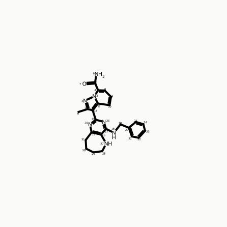 Cc1nn2c(C(N)=O)cccc2c1-c1nc2c(c(NCc3ccccc3)n1)NCCCC2